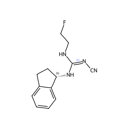 N#C/N=C(/NCCF)N[C@H]1CCc2ccccc21